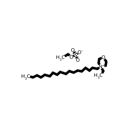 CCCCCCCCCCCCCCCCCC[N+]1(CC)CCOCC1.CCOS(=O)(=O)[O-]